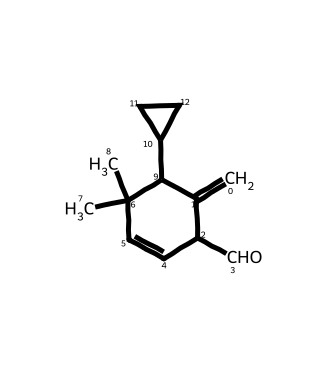 C=C1C(C=O)C=CC(C)(C)C1C1CC1